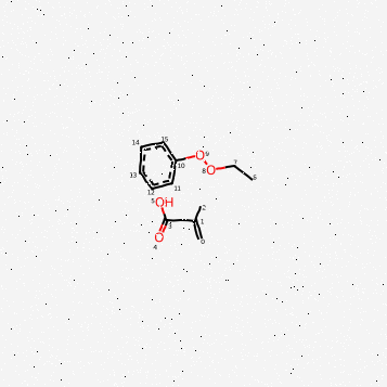 C=C(C)C(=O)O.CCOOc1ccccc1